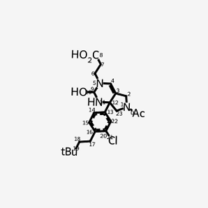 CC(=O)N1CC2=CN(CCC(=O)O)C(O)NC2(c2ccc(CCC(C)(C)C)c(Cl)c2)C1